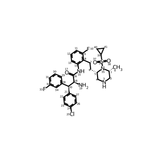 C[C@@H]1CNC[C@H](CCc2c(F)cccc2NC(=O)[C@@H](N)[C@@H](c2ccc(Cl)cc2)c2cccc(F)c2)N1S(=O)(=O)C1CC1